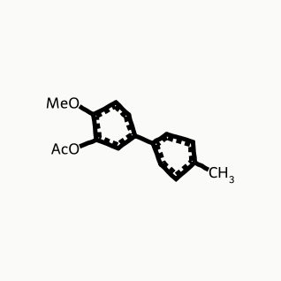 COc1ccc(-c2ccc(C)cc2)cc1OC(C)=O